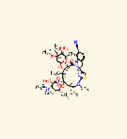 CO[C@]1(C)CC(O[C@H]2[C@H](C)[C@@H](O[C@@H]3O[C@H](C)C[C@H](N(C)C)[C@H]3O)[C@](C)(O)C[C@@H](C)CN(C)c3nc(cs3)[C@H](Cc3ccc(C#N)cc3)NC(=O)[C@@H]2C)O[C@@H](C)[C@@H]1O